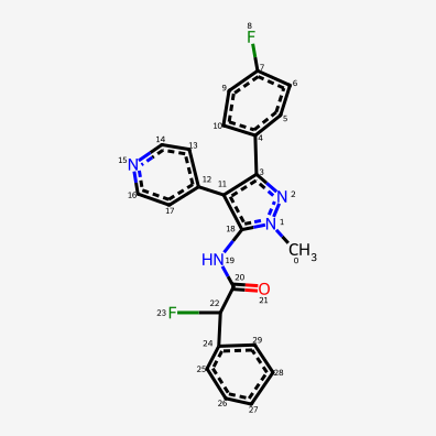 Cn1nc(-c2ccc(F)cc2)c(-c2ccncc2)c1NC(=O)C(F)c1ccccc1